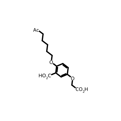 CC(=O)CCCCCOc1ccc(OCC(=O)O)cc1C(=O)O